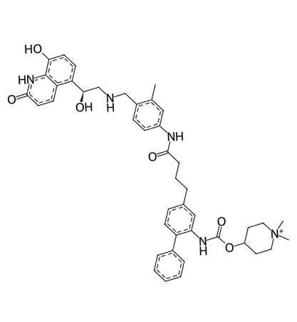 Cc1cc(NC(=O)CCCc2ccc(-c3ccccc3)c(NC(=O)OC3CC[N+](C)(C)CC3)c2)ccc1CNC[C@@H](O)c1ccc(O)c2[nH]c(=O)ccc12